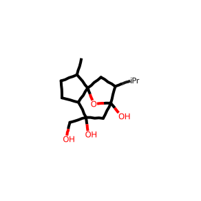 CC(C)C1CC23OC1(O)CC(O)(CO)C2CCC3C